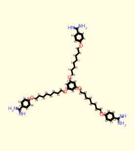 N=C(N)c1ccc(OCCCCCCCCOc2cc(OCCCCCCCCOc3ccc(C(=N)N)cc3)cc(OCCCCCCCCOc3ccc(C(=N)N)cc3)c2)cc1